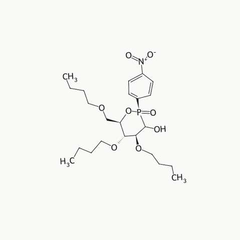 CCCCOC[C@H]1O[P@@](=O)(c2ccc([N+](=O)[O-])cc2)C(O)[C@@H](OCCCC)[C@@H]1OCCCC